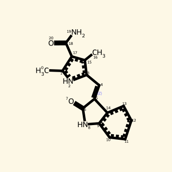 Cc1[nH]c(/C=C2\C(=O)Nc3ccccc32)c(C)c1C(N)=O